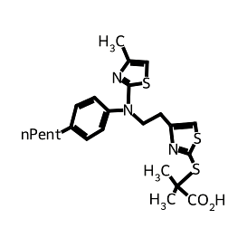 CCCCCc1ccc(N(CCc2csc(SC(C)(C)C(=O)O)n2)c2nc(C)cs2)cc1